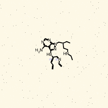 C=C/C=C(Bc1nn(CC(CC)CCNCC)c2ncnc(N)c12)\C=N/C=C